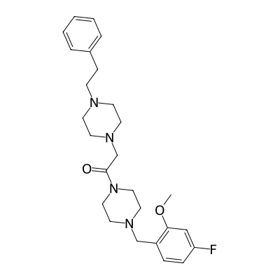 COc1cc(F)ccc1CN1CCN(C(=O)CN2CCN(CCc3ccccc3)CC2)CC1